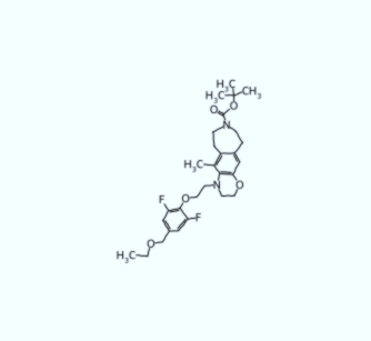 CCOCc1cc(F)c(OCCN2CCOc3cc4c(c(C)c32)CCN(C(=O)OC(C)(C)C)CC4)c(F)c1